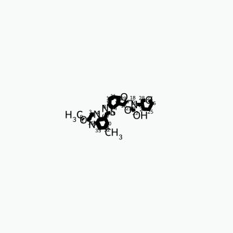 COc1cnc2c(-c3nc4ccc5c(c4s3)C[C@@H](CN(C(=O)O)C3CCCOC3)O5)cc(C)cc2n1